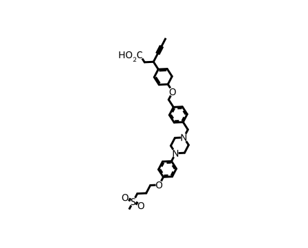 CC#CC(CC(=O)O)C1=CCC(OCc2ccc(CN3CCN(c4ccc(OCCCS(C)(=O)=O)cc4)CC3)cc2)C=C1